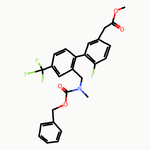 COC(=O)Cc1ccc(F)c(-c2ccc(C(F)(F)F)cc2CN(C)C(=O)OCc2ccccc2)c1